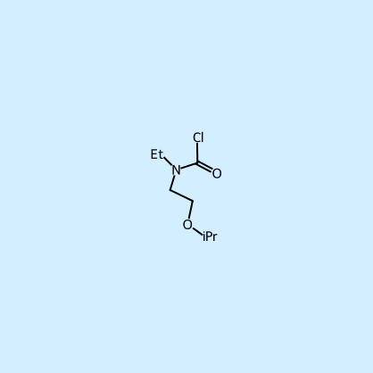 CCN(CCOC(C)C)C(=O)Cl